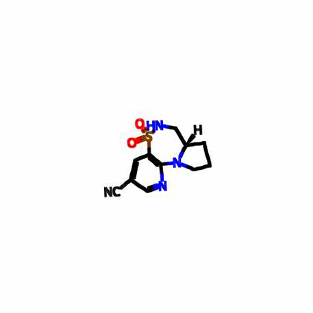 N#Cc1cnc2c(c1)S(=O)(=O)NC[C@@H]1CCCN21